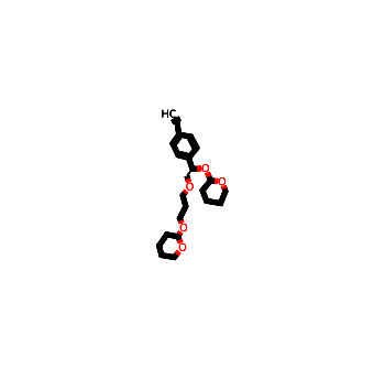 C#Cc1ccc([C@@H](COCCCOC2CCCCO2)OC2CCCCO2)cc1